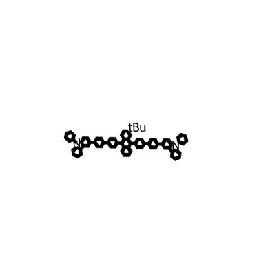 CC(C)(C)c1ccc2c(-c3ccc(-c4ccc(-c5ccc6c(c5)c5ccccc5n6-c5ccccc5)cc4)cc3)c3ccccc3c(-c3ccc(-c4ccc(-c5ccc6c(c5)c5ccccc5n6-c5ccccc5)cc4)cc3)c2c1